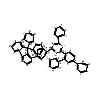 c1ccc(-c2ccc(-c3nc(-c4ccccc4)nc(-c4ccc(-c5cccc6c5C(c5ccccc5)(c5ccccc5)c5ccccc5-6)cc4)n3)c(-c3ccccc3)c2)cc1